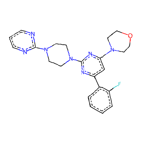 Fc1ccccc1-c1cc(N2CCOCC2)nc(N2CCN(c3ncccn3)CC2)n1